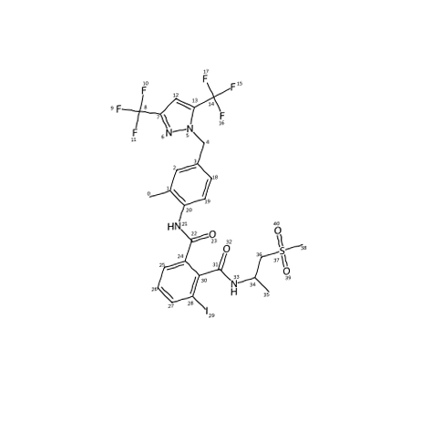 Cc1cc(Cn2nc(C(F)(F)F)cc2C(F)(F)F)ccc1NC(=O)c1cccc(I)c1C(=O)NC(C)CS(C)(=O)=O